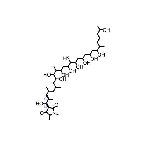 CC(=C\C(C)CC(C)CC(O)C(O)C(C)C(O)CC(O)C(S)C(O)CC(O)CC(O)CC(O)C(C)CCCC(C)O)/C(O)=C1/C(=O)C(C)N(C)C1=O